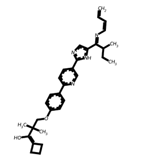 C=C/C=C\N=C(\c1cnc(-c2ccc(-c3ccc(OCC(C)(C)C(O)=C4CCC4)cc3)nc2)[nH]1)C(C)CC